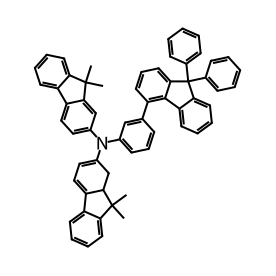 CC1(C)c2ccccc2-c2ccc(N(C3=CC=C4c5ccccc5C(C)(C)C4C3)c3cccc(-c4cccc5c4-c4ccccc4C5(c4ccccc4)c4ccccc4)c3)cc21